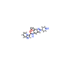 COc1cc2nn(C3CCNCC3)cc2cc1NC(=O)c1cnc2ccccn12